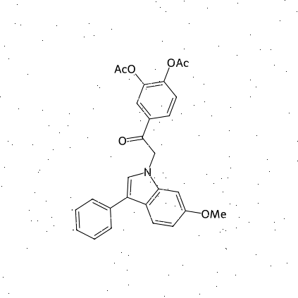 COc1ccc2c(-c3c[c][c]cc3)cn(CC(=O)c3ccc(OC(C)=O)c(OC(C)=O)c3)c2c1